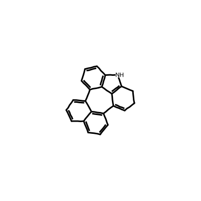 C1=C2c3cccc4cccc(c34)-c3cccc4[nH]c(c2c34)CC1